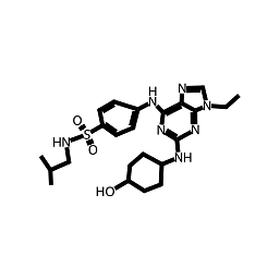 CCn1cnc2c(Nc3ccc(S(=O)(=O)NCC(C)C)cc3)nc(NC3CCC(O)CC3)nc21